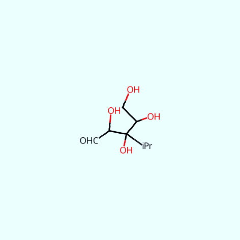 CC(C)C(O)(C(O)C=O)C(O)CO